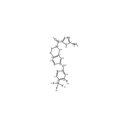 Nc1ncc(C(=O)N2CCc3ccc(Oc4ccc(C(F)(F)F)c(F)c4)cc3C2)s1